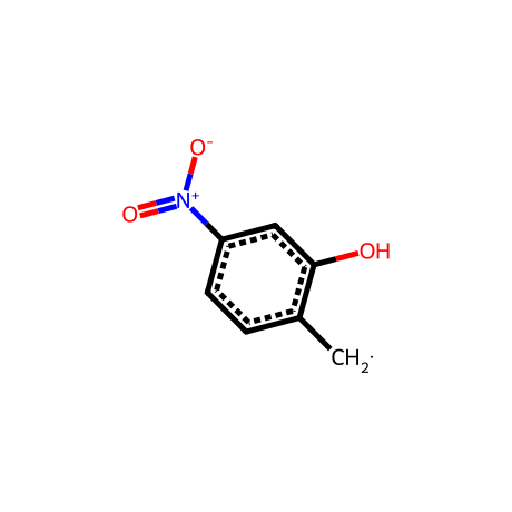 [CH2]c1ccc([N+](=O)[O-])cc1O